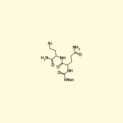 CCCCCCCCCC(=O)NC(CCC(N)=O)C(=O)NC(CCC(C)=O)C(N)=O